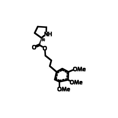 COc1cc(CCCOC(=O)[C@@H]2CCCN2)cc(OC)c1OC